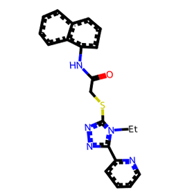 CCn1c(SCC(=O)Nc2cccc3ccccc23)nnc1-c1ccccn1